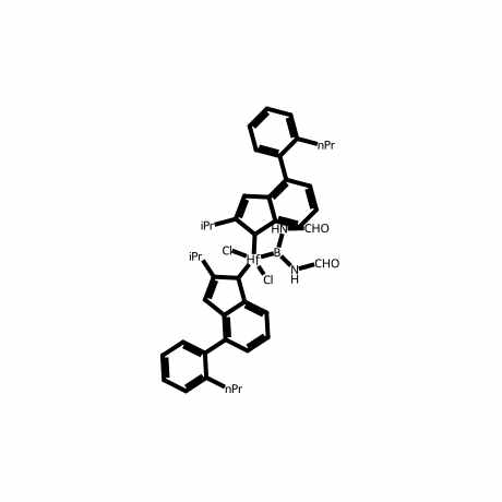 CCCc1ccccc1-c1cccc2c1C=C(C(C)C)[CH]2[Hf]([Cl])([Cl])([B](NC=O)NC=O)[CH]1C(C(C)C)=Cc2c(-c3ccccc3CCC)cccc21